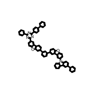 c1ccc(-c2ccc(-c3nc(-c4ccccc4)nc(-c4ccc5oc6cc(-c7cccc(-c8ccc9oc%10ccc(-n%11c%12ccccc%12c%12cc(-c%13ccccc%13)ccc%12%11)cc%10c9c8)c7)ccc6c5c4)n3)cc2)cc1